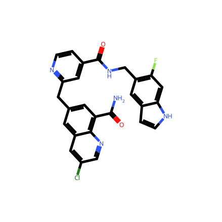 NC(=O)c1cc(Cc2cc(C(=O)NCc3cc4cc[nH]c4cc3F)ccn2)cc2cc(Cl)cnc12